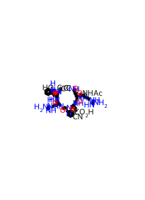 CC(=O)N[C@@H](CCCNC(=N)N)C(=O)N[C@H]1CCC(=O)NCCCC(C(=O)O)NC(=O)[C@H](Cc2c[nH]c3ccccc23)NC(=O)[C@H](CCCNC(=N)N)NC(=O)[C@@H](Cc2ccc(C#N)cc2)NC(=O)[C@H](CCC(=O)O)NC1=O